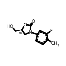 Cc1ccc(N2C[C@@H](CO)OC2=O)cc1F